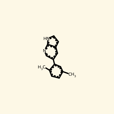 Cc1ccc(C)c(-c2cnc3[nH]ccc3c2)c1